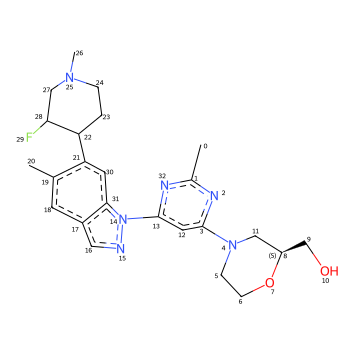 Cc1nc(N2CCO[C@H](CO)C2)cc(-n2ncc3cc(C)c(C4CCN(C)CC4F)cc32)n1